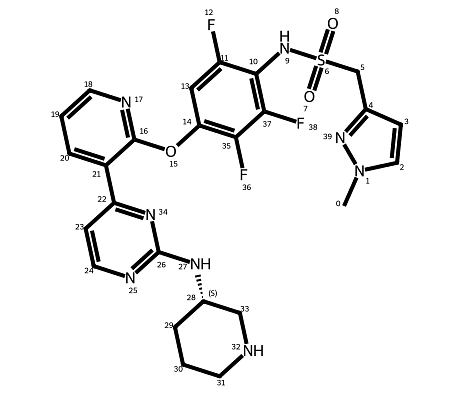 Cn1ccc(CS(=O)(=O)Nc2c(F)cc(Oc3ncccc3-c3ccnc(N[C@H]4CCCNC4)n3)c(F)c2F)n1